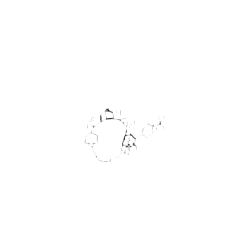 CC(=O)N1CCC(c2cc3c4nc(=O)n(c3n(C)c2=O)CCCCC(C)N2CCC(CC2)C(F)(F)c2cccc(c2F)[C@@H](C)N4)CC1